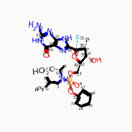 CC(C)C(C)CN([C@@H](C)C(=O)O)[P@@](=O)(OC[C@H]1O[C@@](F)(c2nc3c(=O)[nH]c(N)nc3[nH]2)[C@H](C)[C@@H]1O)Oc1ccccc1